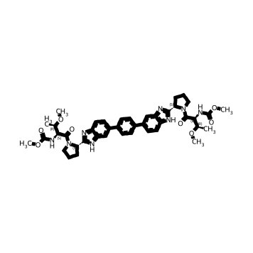 COC(=O)N[C@H](C(=O)N1CCC[C@H]1c1nc2cc(-c3ccc(-c4ccc5nc([C@@H]6CCCN6C(=O)[C@@H](NC(=O)OC)[C@@H](C)OC)[nH]c5c4)cc3)ccc2[nH]1)[C@@H](C)OC